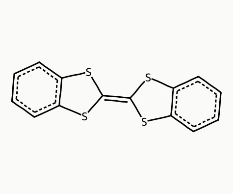 c1ccc2c(c1)SC(=C1Sc3ccccc3S1)S2